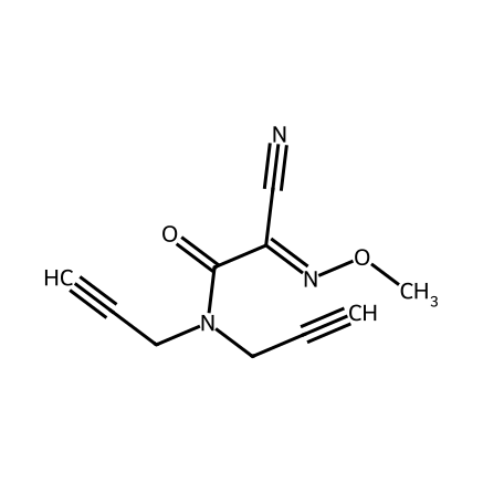 C#CCN(CC#C)C(=O)C(C#N)=NOC